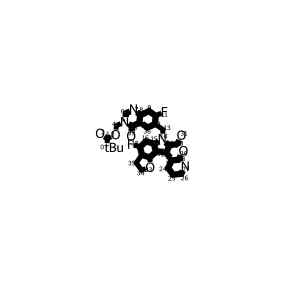 CC(C)(C)C(=O)OCn1cnc2cc(F)c(Cn3c4cc(F)c5c(c4c4c6cccnc6oc(=O)c43)OCC5)cc2c1=O